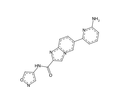 Nc1cccc(-c2ccc3nc(C(=O)Nc4cnoc4)cn3c2)n1